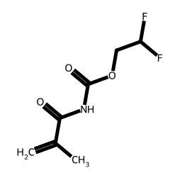 C=C(C)C(=O)NC(=O)OCC(F)F